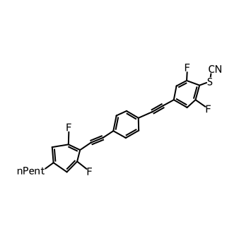 CCCCCc1cc(F)c(C#Cc2ccc(C#Cc3cc(F)c(SC#N)c(F)c3)cc2)c(F)c1